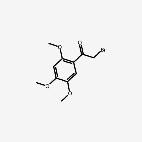 COc1cc(OC)c(C(=O)CBr)cc1OC